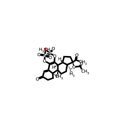 CC(=O)O[C@]1(C(C)=O)CC[C@H]2[C@@H]3C(OS(C)(=O)=O)=C(OS(C)(=O)=O)C4=CC(=O)CC[C@]4(C)[C@H]3CC[C@@]21C